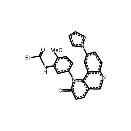 CCC(=O)Nc1cc(-n2c(=O)ccc3cnc4ccc(-n5cccn5)cc4c32)ccc1OC